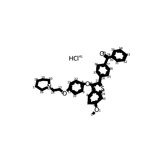 COc1ccc2c(Oc3ccc(OCCN4CCCCC4)cc3)c(-c3ccc(C(=O)c4ccccc4)cc3)sc2c1.Cl